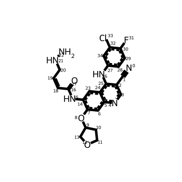 N#Cc1cnc2cc(OC3CCOC3)c(NC(=O)/C=C\CNN)cc2c1Nc1ccc(F)c(Cl)c1